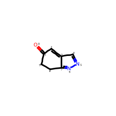 O=C1C=C2C=NN=C2CC1